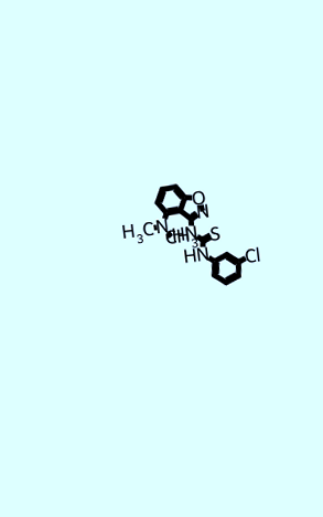 CN(C)c1cccc2onc(NC(=S)Nc3cccc(Cl)c3)c12